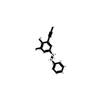 CC#Cc1cc(/N=N/c2ccccc2)cc(C)c1C